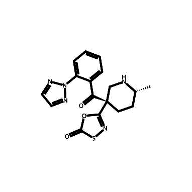 C[C@@H]1CC[C@](C(=O)c2ccccc2-n2nccn2)(c2nsc(=O)o2)CN1